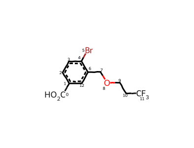 O=C(O)c1ccc(Br)c(COCCC(F)(F)F)c1